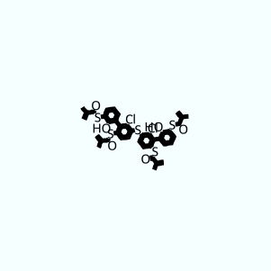 C=C(C)C(=O)Sc1cccc(-c2c(SC(=O)C(=C)C)ccc(Sc3ccc(SC(=O)C(=C)C)c(-c4cccc(SC(=O)C(=C)C)c4O)c3Cl)c2Cl)c1O